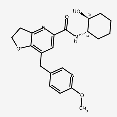 COc1ccc(Cc2cc(C(=O)N[C@H]3CCCC[C@@H]3O)nc3c2OCC3)cn1